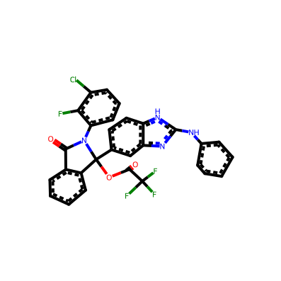 O=C1c2ccccc2C(OC(=O)C(F)(F)F)(c2ccc3[nH]c(Nc4ccccc4)nc3c2)N1c1cccc(Cl)c1F